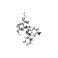 CCOC(=O)c1cnc(SC)nc1Nc1nn(-c2ccccn2)c2cc(F)ccc12